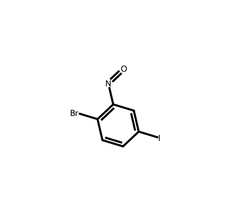 O=Nc1cc(I)ccc1Br